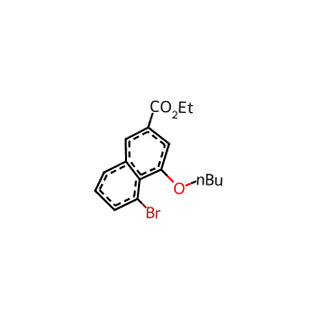 CCCCOc1cc(C(=O)OCC)cc2cccc(Br)c12